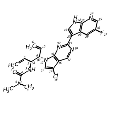 C=C[C@H](NC(=O)N(C)C)[C@H](C=C)n1cc(Cl)c2cnc(-c3c[nH]c4ncc(F)cc34)nc21